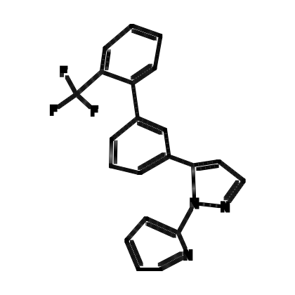 FC(F)(F)c1ccccc1-c1cccc(-c2ccnn2-c2ccccn2)c1